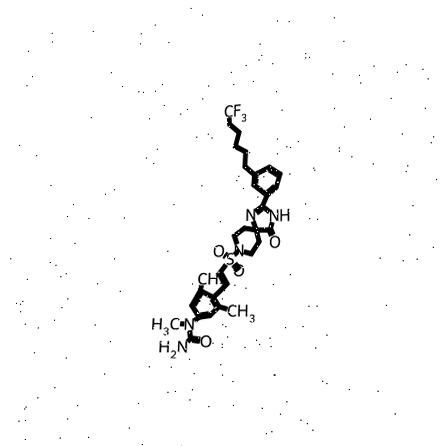 Cc1cc(N(C)C(N)=O)cc(C)c1C=CS(=O)(=O)N1CCC2(CC1)N=C(c1cccc(CCCCCC(F)(F)F)c1)NC2=O